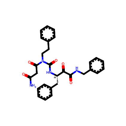 NC(=O)[CH]C(=O)N(CCc1ccccc1)C(=O)N[C@@H](Cc1ccccc1)C(=O)C(=O)NCc1ccccc1